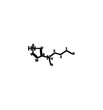 CCCCN(C)c1[c][nH]cc1